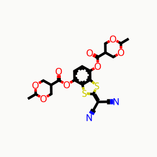 CC1OCC(C(=O)Oc2ccc(OC(=O)C3COC(C)OC3)c3c2SC(=C(C#N)C#N)S3)CO1